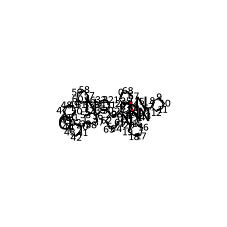 c1ccc(-c2nc(-c3ccccc3)nc(-c3ccccc3-n3c4ccccc4c4c(-c5cccc6c5c5ccc(-c7cccc8oc9ccccc9c78)cc5n6-c5ccccc5)cccc43)n2)cc1